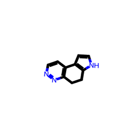 c1cc2c(nn1)CCc1[nH]ccc1-2